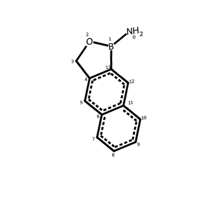 NB1OCc2cc3ccccc3cc21